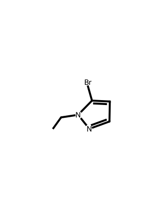 CCn1nccc1Br